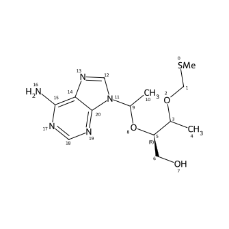 CSCOC(C)[C@@H](CO)OC(C)n1cnc2c(N)ncnc21